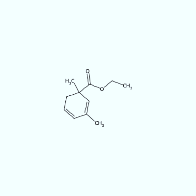 CCOC(=O)C1(C)C=C(C)C=CC1